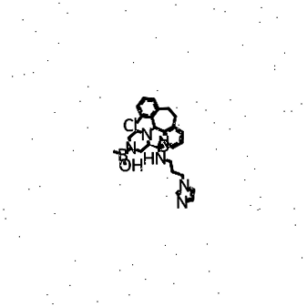 CB(O)N1CCN([C@@H]2c3ncccc3CCc3cccc(Cl)c32)[C@@H](C(=O)NCCCn2ccnc2)C1